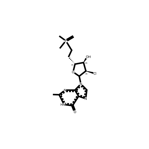 C=P(C)(C)CC[C@H]1OC(n2cnc3c(=O)[nH]c(C)nc32)[C@H](Cl)[C@@H]1O